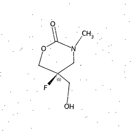 CN1C[C@](F)(CO)COC1=O